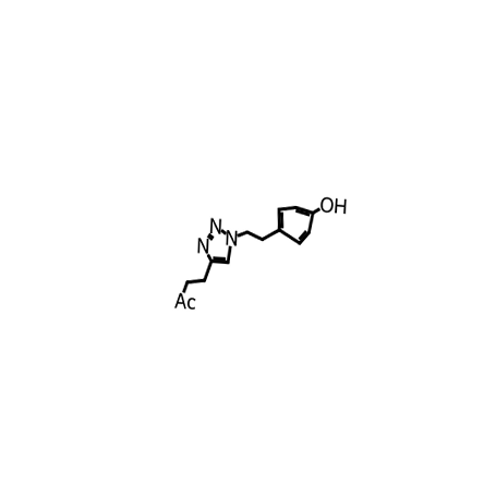 CC(=O)CCc1cn(CCc2ccc(O)cc2)nn1